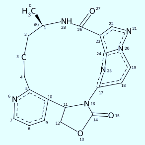 C[C@@H]1CCCc2ncccc2C2COC(=O)N2c2ccn3ncc(c3n2)C(=O)N1